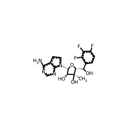 C[C@@]1(O)[C@@H](C(O)c2ccc(F)c(F)c2F)O[C@@H](n2ccc3c(N)ncnc32)[C@@H]1O